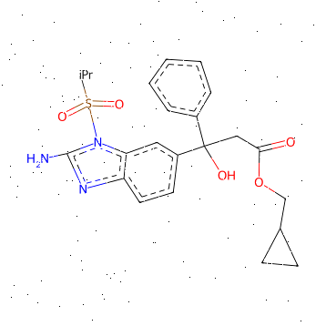 CC(C)S(=O)(=O)n1c(N)nc2ccc(C(O)(CC(=O)OCC3CC3)c3ccccc3)cc21